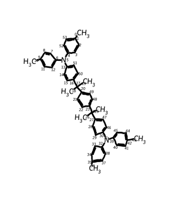 Cc1ccc(N(c2ccc(C)cc2)c2ccc(C(C)(C)c3ccc(C(C)(C)c4ccc(N(c5ccc(C)cc5)c5ccc(C)cc5)cc4)cc3)cc2)cc1